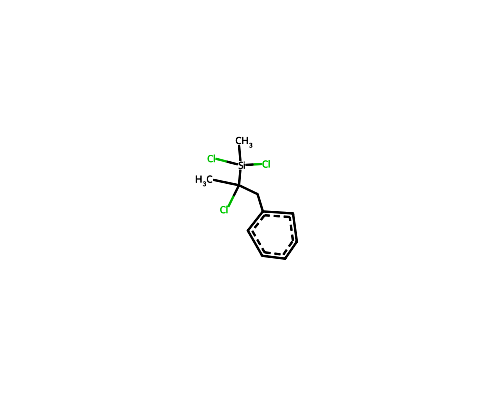 CC(Cl)(Cc1ccccc1)[Si](C)(Cl)Cl